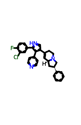 Fc1ccc(-c2[nH]cc(C3=C[C@@H]4C[C@@H](c5ccccc5)CN4CC3)c2-c2ccncc2)cc1Cl